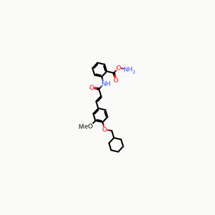 COc1cc(/C=C/C(=O)Nc2ccccc2C(=O)ON)ccc1OCC1CCCCC1